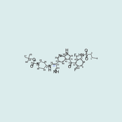 CCCS(=O)(=O)Nc1ccc(F)c(C(=O)c2c[nH]c3ncc(/C(C=N)=C/NC4CCN(C(=O)OC(C)(C)C)CC4)cc23)c1F